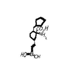 N[C@]1(C(=O)O)C[C@H](CCB(O)O)CC[C@H]1CC1CCCC1